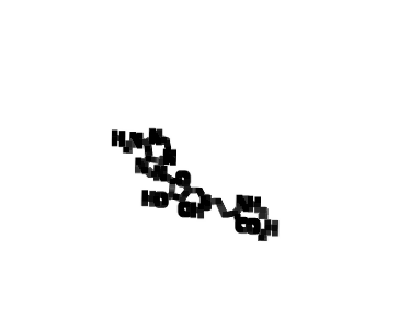 Nc1ncnc2c1ncn2C1OC(CSCC[C@@H](N)C(=O)O)C(O)C1O